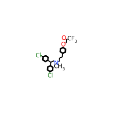 CN(CCCc1ccc(OCC(=O)C(F)(F)F)cc1)CC(c1ccc(Cl)cc1)c1ccc(Cl)cc1